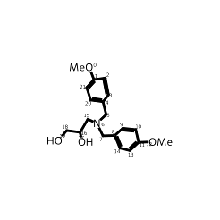 COc1ccc(CN(Cc2ccc(OC)cc2)CC(O)CO)cc1